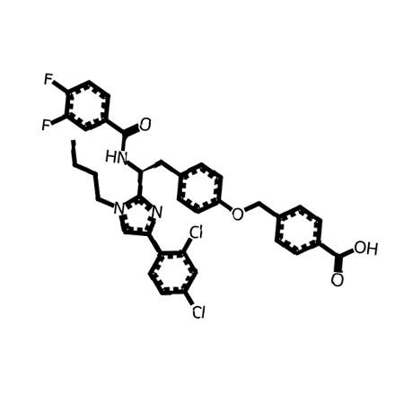 CCCCn1cc(-c2ccc(Cl)cc2Cl)nc1[C@H](Cc1ccc(OCc2ccc(C(=O)O)cc2)cc1)NC(=O)c1ccc(F)c(F)c1